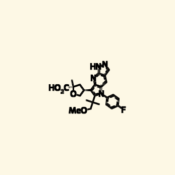 COCC(C)(C)c1c([C@H]2CO[C@](C)(C(=O)O)C2)c2nc3[nH]ncc3cc2n1-c1ccc(F)cc1